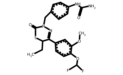 CCC1SC(=O)N(Cc2ccc(NC(N)=O)cc2)N=C1c1ccc(OC(F)F)c(OC)c1